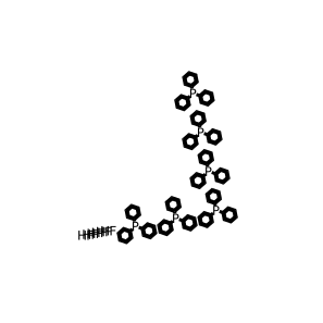 F.F.F.F.F.F.c1ccc(P(c2ccccc2)c2ccccc2)cc1.c1ccc(P(c2ccccc2)c2ccccc2)cc1.c1ccc(P(c2ccccc2)c2ccccc2)cc1.c1ccc(P(c2ccccc2)c2ccccc2)cc1.c1ccc(P(c2ccccc2)c2ccccc2)cc1.c1ccc(P(c2ccccc2)c2ccccc2)cc1